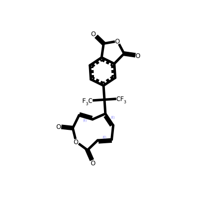 O=C1/C=C/C=C(C(c2ccc3c(c2)C(=O)OC3=O)(C(F)(F)F)C(F)(F)F)\C=C\C(=O)O1